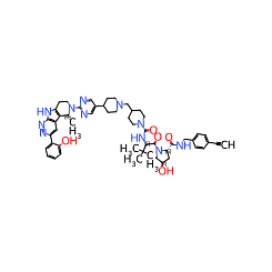 C#Cc1ccc(CNC(=O)[C@@H]2C[C@@H](O)CN2C(=O)[C@@H](NC(=O)N2CCC(CN3CCC(c4cnc(N5CCc6[nH]c7nnc(-c8ccccc8O)cc7c6[C@H]5C)nc4)CC3)CC2)C(C)(C)C)cc1